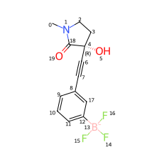 CN1CC[C@@](O)(C#Cc2cccc([B-](F)(F)F)c2)C1=O